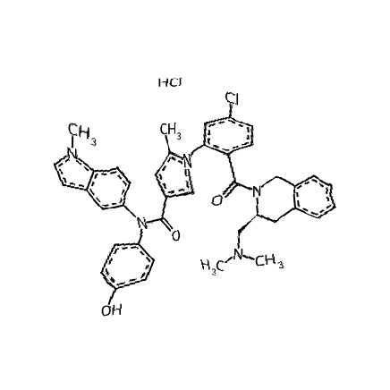 Cc1cc(C(=O)N(c2ccc(O)cc2)c2ccc3c(ccn3C)c2)cn1-c1cc(Cl)ccc1C(=O)N1Cc2ccccc2C[C@H]1CN(C)C.Cl